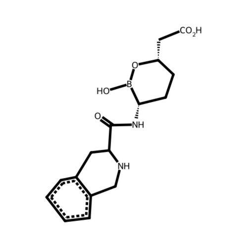 O=C(O)C[C@@H]1CC[C@H](NC(=O)C2Cc3ccccc3CN2)B(O)O1